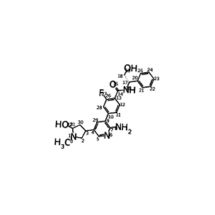 CN1CC(c2cnc(N)c(-c3ccc(C(=O)N[C@H](CO)c4ccccc4)c(F)c3)c2)CC1O